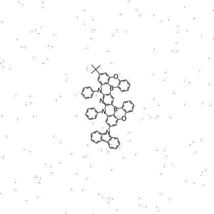 CC(C)(C)c1cc2c3c(c1)N(c1ccccc1)c1nc4c(cc1B3c1ccccc1O2)B1c2ccccc2Oc2cc(-n3c5ccccc5c5ccccc53)cc(c21)N4c1ccccc1